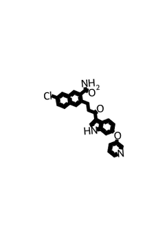 NC(=O)c1cc2cc(Cl)ccc2cc1CCC(=O)c1c[nH]c2cc(Oc3cccnc3)ccc12